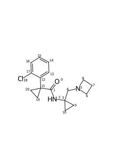 O=C(NC1(CN2CCC2)CC1)C1(c2ccccc2Cl)CC1